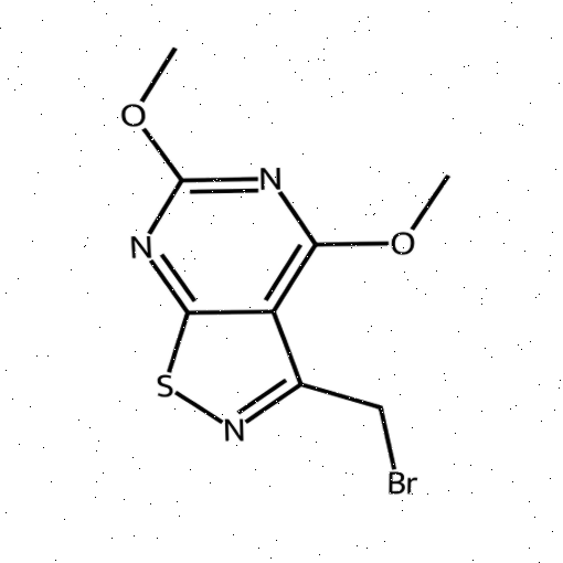 COc1nc(OC)c2c(CBr)nsc2n1